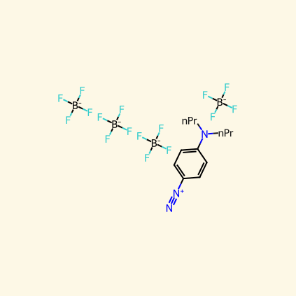 CCCN(CCC)c1ccc([N+]#N)cc1.F[B-](F)(F)F.F[B-](F)(F)F.F[B-](F)(F)F.F[B-](F)(F)F